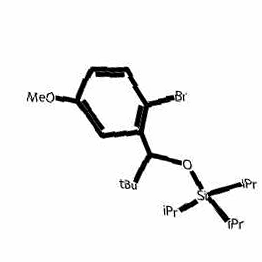 COc1ccc(Br)c(C(O[Si](C(C)C)(C(C)C)C(C)C)C(C)(C)C)c1